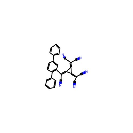 N#CC(C#N)=C1C(=C(C#N)C#N)C1=C(C#N)c1cc(-c2ccccc2)ccc1-c1ccccc1